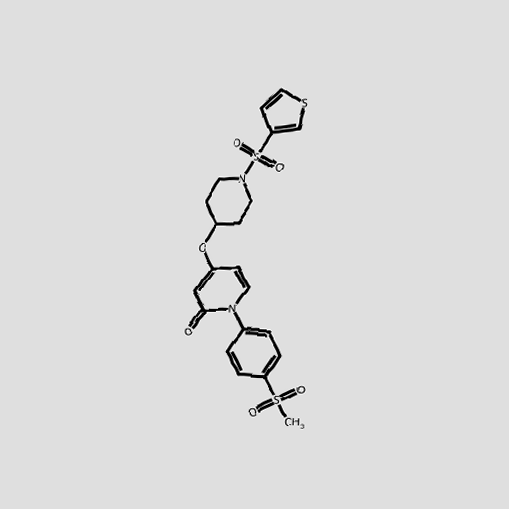 CS(=O)(=O)c1ccc(-n2ccc(OC3CCN(S(=O)(=O)c4ccsc4)CC3)cc2=O)cc1